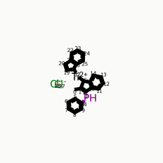 CC1=C(Pc2ccccc2)c2ccccc2[CH]1[Ti+2][CH]1C=Cc2ccccc21.[Cl-].[Cl-]